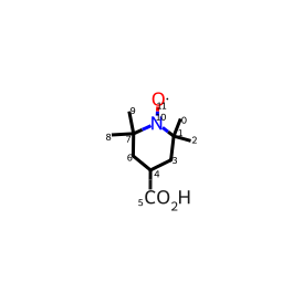 CC1(C)CC(C(=O)O)CC(C)(C)N1[O]